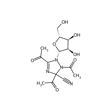 CC(=O)C1=NC(C#N)(C(C)=O)N(C(C)=O)N1[C@@H]1O[C@H](CO)[C@@H](O)[C@H]1O